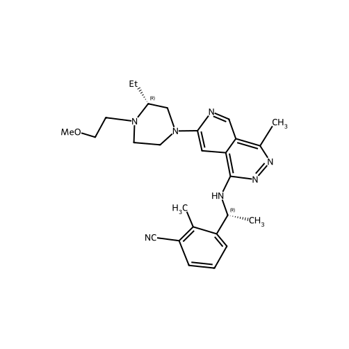 CC[C@@H]1CN(c2cc3c(N[C@H](C)c4cccc(C#N)c4C)nnc(C)c3cn2)CCN1CCOC